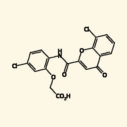 O=C(O)COc1cc(Cl)ccc1NC(=O)c1cc(=O)c2cccc(Cl)c2o1